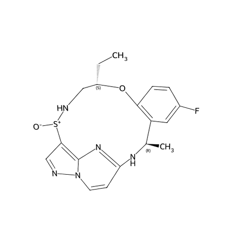 CC[C@H]1CN[S+]([O-])c2cnn3ccc(nc23)N[C@H](C)c2cc(F)ccc2O1